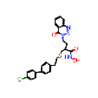 O=C(NO)C(CCn1nnc2ccccc2c1=O)CSCCc1ccc(-c2ccc(Cl)cc2)cc1